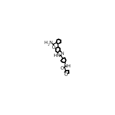 NC(=O)c1ccccc1-c1ccc2[nH]c(-c3ccc(NC(=O)c4ccoc4)cc3)nc2c1